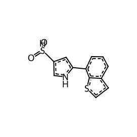 O=[SH](=O)c1c[nH]c(-c2cccc3ccsc23)c1